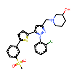 CS(=O)(=O)c1cccc(-c2ccc(-c3cc(CN4CCCC(O)C4)nn3-c3ccccc3Cl)s2)c1